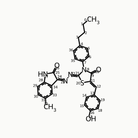 CCCCc1ccc(N2C(=O)C(=Cc3ccc(O)cc3)SC2=NN=C2C(=O)Nc3ccc(C)cc32)cc1